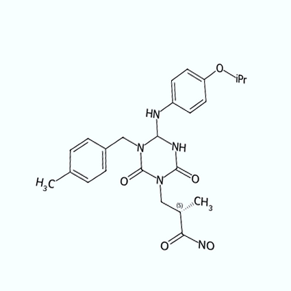 Cc1ccc(CN2C(=O)N(C[C@H](C)C(=O)N=O)C(=O)NC2Nc2ccc(OC(C)C)cc2)cc1